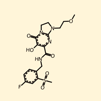 COCCN1CCn2c1nc(C(=O)NCc1ccc(F)cc1S(C)(=O)=O)c(O)c2=O